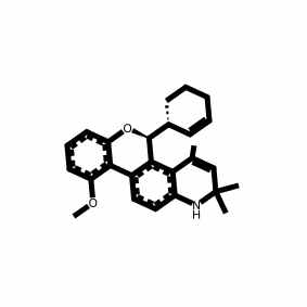 COc1cccc2c1-c1ccc3c(c1[C@H]([C@H]1C=CCCC1)O2)C(C)=CC(C)(C)N3